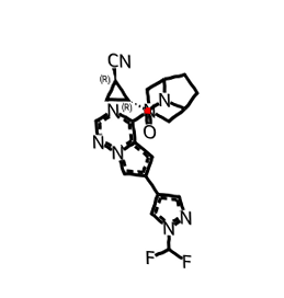 N#C[C@@H]1C[C@H]1C(=O)N1C2CCC1CN(c1ncnn3cc(-c4cnn(C(F)F)c4)cc13)C2